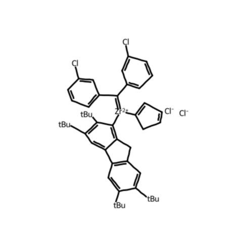 CC(C)(C)c1cc2c(cc1C(C)(C)C)-c1cc(C(C)(C)C)c(C(C)(C)C)[c]([Zr+2]([C]3=CC=CC3)=[C](c3cccc(Cl)c3)c3cccc(Cl)c3)c1C2.[Cl-].[Cl-]